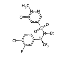 CCN([C@H](c1ccc(Cl)c(F)c1)C(F)(F)F)S(=O)(=O)c1cnn(C)c(=O)c1